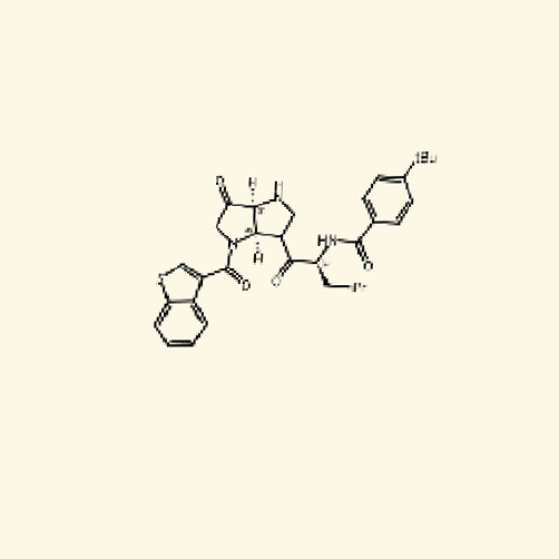 CC(C)C[C@H](NC(=O)c1ccc(C(C)(C)C)cc1)C(=O)C1CN[C@@H]2C(=O)CN(C(=O)c3csc4ccccc34)[C@H]12